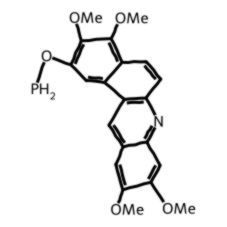 COc1cc2cc3c(ccc4c(OC)c(OC)c(OP)cc43)nc2cc1OC